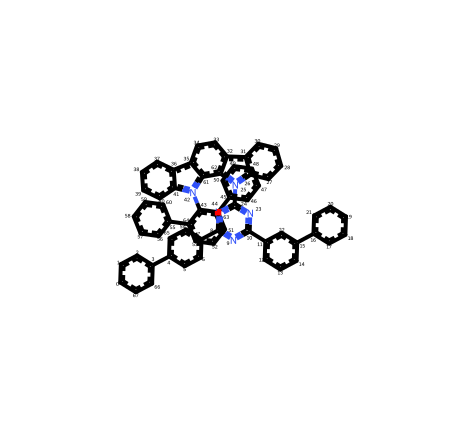 c1ccc(-c2ccc(-c3nc(-c4cccc(-c5ccccc5)c4)nc(-n4c5ccccc5c5ccc6c7ccccc7n(-c7c(-c8ccccc8)cccc7-c7ccccc7)c6c54)n3)cc2)cc1